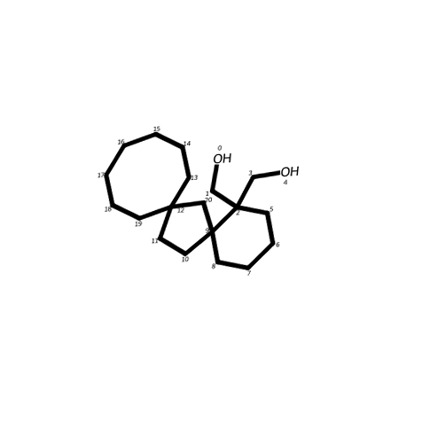 OCC1(CO)CCCCC12CCC1(CCCCCCC1)C2